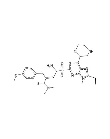 CCc1nc2c(C3CNCCO3)nc(S(=O)(=O)C(N)C=C(Cc3ccc(OC)cc3)C(=S)N(C)C)nc2n1C